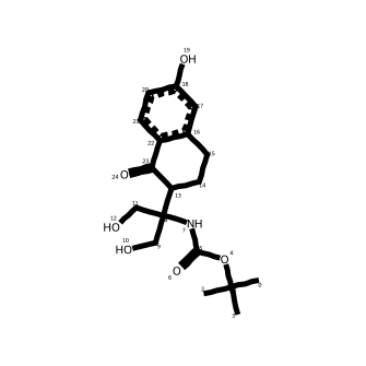 CC(C)(C)OC(=O)NC(CO)(CO)C1CCc2cc(O)ccc2C1=O